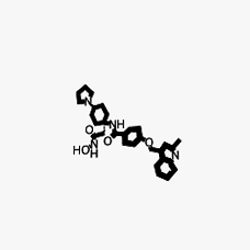 Cc1cc(COc2ccc(C(=O)N[C@]3(CC(=O)NO)CC[C@H](N4CCCC4)CC3)cc2)c2ccccc2n1